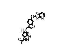 CC(=O)N[C@H]1C[C@@H]2C[C@H]1CN2Cc1coc2cc(Oc3nc4ncccc4s3)ccc12